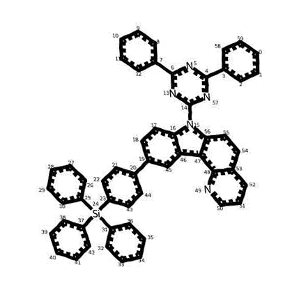 c1ccc(-c2nc(-c3ccccc3)nc(-n3c4ccc(-c5ccc([Si](c6ccccc6)(c6ccccc6)c6ccccc6)cc5)cc4c4c5ncccc5ccc43)n2)cc1